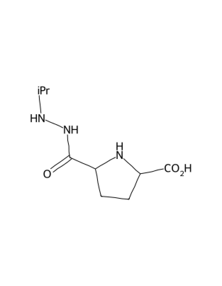 CC(C)NNC(=O)C1CCC(C(=O)O)N1